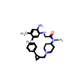 Cc1cc(N)c(NCC(=O)N(C)C2CCN(CC3CC3c3ccccc3)CC2)cc1C